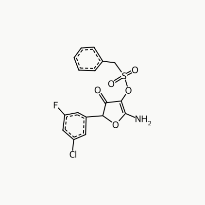 NC1=C(OS(=O)(=O)Cc2ccccc2)C(=O)C(c2cc(F)cc(Cl)c2)O1